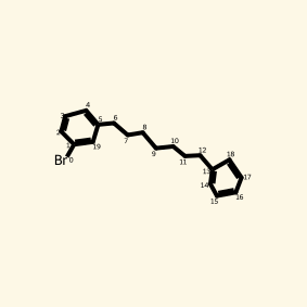 Brc1cccc(CCCCCCCc2ccccc2)c1